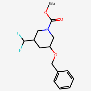 CC(C)(C)OC(=O)N1CC(OCc2ccccc2)CC(C(F)F)C1